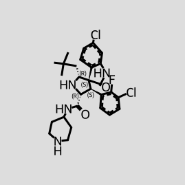 CC(C)(C)C[C@H]1N[C@@H](C(=O)NC2CCNCC2)[C@H](c2cccc(Cl)c2F)[C@@]12C(=O)Nc1cc(Cl)ccc12